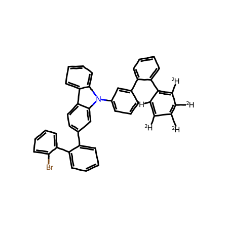 [2H]c1c([2H])c([2H])c(-c2ccccc2-c2cccc(-n3c4ccccc4c4ccc(-c5ccccc5-c5ccccc5Br)cc43)c2)c([2H])c1[2H]